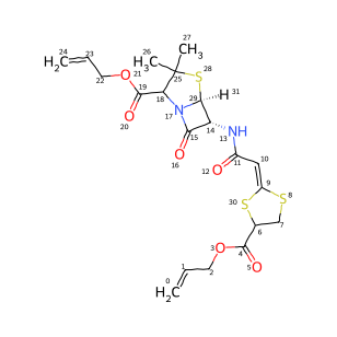 C=CCOC(=O)C1CSC(=CC(=O)N[C@@H]2C(=O)N3C(C(=O)OCC=C)C(C)(C)S[C@@H]23)S1